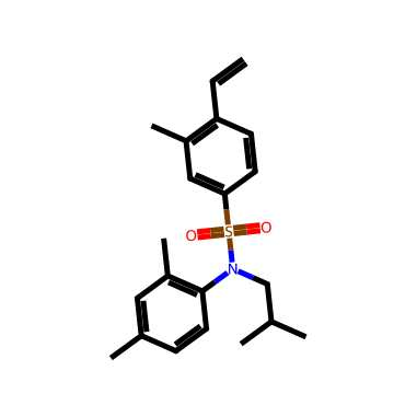 C=Cc1ccc(S(=O)(=O)N(CC(C)C)c2ccc(C)cc2C)cc1C